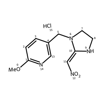 COc1ccc(CN2CCNC2=C[N+](=O)[O-])cn1.Cl